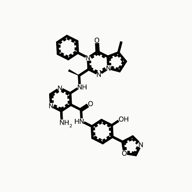 Cc1ccn2nc([C@H](C)Nc3ncnc(N)c3C(=O)Nc3ccc(-c4cnco4)c(O)c3)n(-c3ccccc3)c(=O)c12